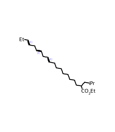 CC/C=C/C/C=C/C/C=C/CCCCCCCCC(CC(C)C)C(=O)OCC